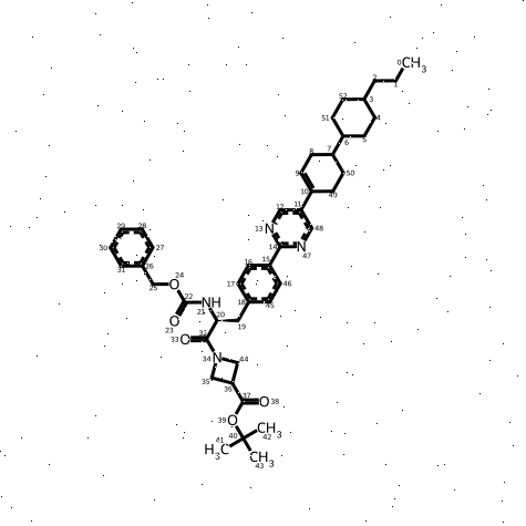 CCCC1CCC(C2CC=C(c3cnc(-c4ccc(C[C@H](NC(=O)OCc5ccccc5)C(=O)N5CC(C(=O)OC(C)(C)C)C5)cc4)nc3)CC2)CC1